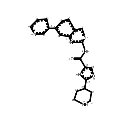 O=C(Nc1ncc2ccc(-c3cccnc3)cc2n1)c1coc(C2CCNCC2)n1